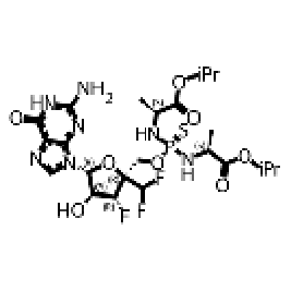 CC(C)OC(=O)[C@H](C)NP(=S)(N[C@@H](C)C(=O)OC(C)C)OC[C@@]1(C(F)F)O[C@@H](n2cnc3c(=O)[nH]c(N)nc32)[C@H](O)[C@H]1F